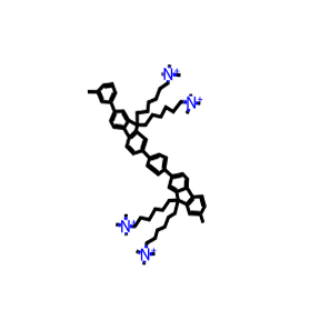 Cc1cccc(-c2ccc3c(c2)C(CCCCCC[N+](C)(C)C)(CCCCCC[N+](C)(C)C)c2cc(-c4ccc(-c5ccc6c(c5)C(CCCCCC[N+](C)(C)C)(CCCCCC[N+](C)(C)C)c5cc(C)ccc5-6)cc4)ccc2-3)c1